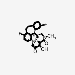 CN1C[C@H]([C@@H]2c3cc(F)ccc3CCc3c(F)cccc32)n2ncc(=O)c(O)c2C1=O